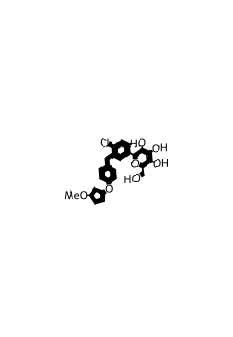 CO[C@H]1CCC(Oc2ccc(Cc3cc([C@@H]4O[C@H](CO)[C@@H](O)[C@H](O)[C@H]4O)ccc3Cl)cc2)C1